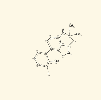 CC1(C)C=C2OCc3c(-c4cccc(F)c4O)ccc(c32)N1